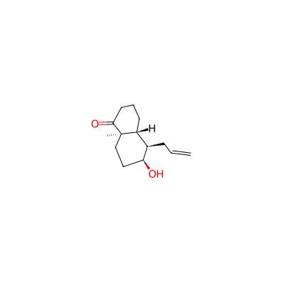 C=CC[C@@H]1[C@H]2CCCC(=O)[C@]2(C)CC[C@@H]1O